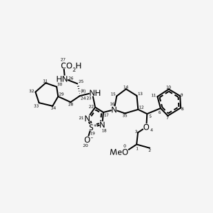 COC(C)COC(c1ccccc1)C1CCCN(c2n[s+]([O-])nc2N[C@@H](CNC(=O)O)CC2CCCCC2)C1